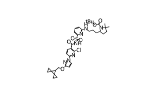 CC(C)(C)OC(=O)N1C(CCCNc2cccc(S(=O)(=O)NC(=O)c3ccc(-n4ccc(OCC5C6(CC6)C56CC6)n4)nc3Cl)n2)CCC1(C)C